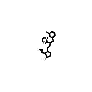 Cc1cccc(CC(CCC2CCC(O)C2CC=O)C2OCCO2)c1